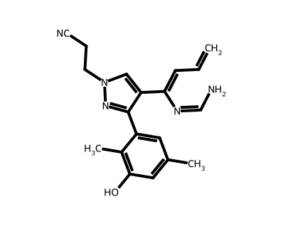 C=C/C=C(\N=C/N)c1cn(CCC#N)nc1-c1cc(C)cc(O)c1C